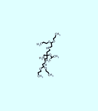 CCCOC(CPCCC(CN)(CCPCC(OCCC)OCCC)OC(C)C)OCCC